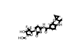 C=C1Nc2ccc(C(=O)Nc3ccn(C4O[C@H](CO)[C@@H](O)C4(F)F)c(=O)n3)cc2OC12CC2